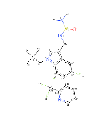 CN(C)[S+]([O-])NCc1cn(CC(C)(C)C)c2cc(-c3cccnc3C(F)(F)F)c(F)cc12